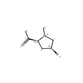 CC(=O)[C@@H]1C[C@H](F)CN1C